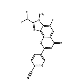 Cn1c(C(F)F)nc2c3oc(-c4ccc(C#N)nc4)cc(=O)c3cc(F)c21